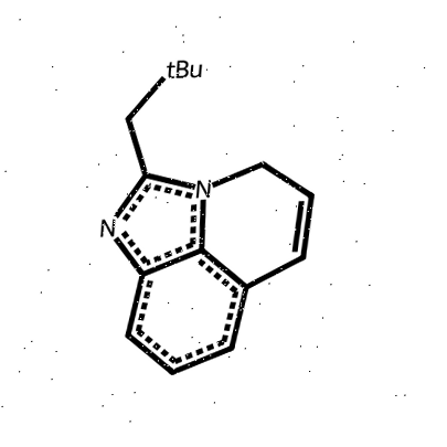 CC(C)(C)Cc1nc2cccc3c2n1CC=C3